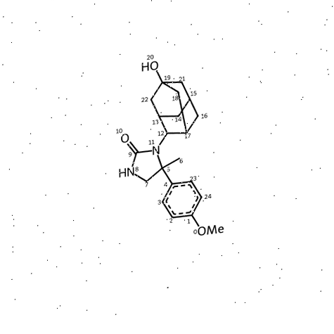 COc1ccc(C2(C)CNC(=O)N2C2C3CC4CC2CC(O)(C4)C3)cc1